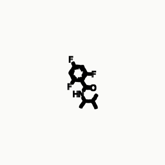 CC(C)C(C)NC(=O)c1c(F)cc(F)cc1F